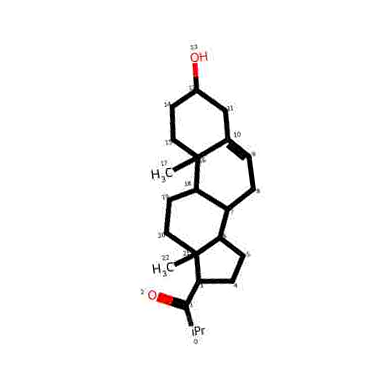 CC(C)C(=O)C1CCC2C3CC=C4CC(O)CCC4(C)C3CCC12C